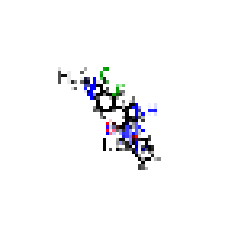 Cn1nc2ccc(-c3c[nH]c4nc(N5C6CCC5CC(N)C6)n(C)c(=O)c34)c(Cl)c2c1Cl